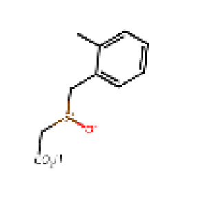 Cc1ccccc1C[S+]([O-])CC(=O)O